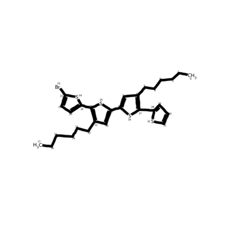 CCCCCCc1cc(-c2cc(CCCCCC)c(-c3ccc(Br)s3)s2)sc1-c1cccs1